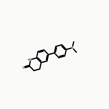 CN(C)c1ccc(-c2ccc3c(c2)CCC(=O)N3)cc1